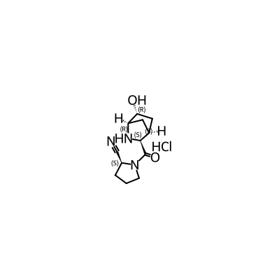 Cl.N#C[C@@H]1CCCN1C(=O)[C@H]1N[C@@H]2C[C@H]1C[C@H]2O